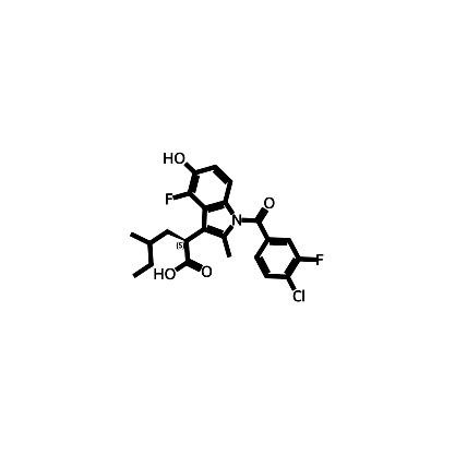 CCC(C)C[C@H](C(=O)O)c1c(C)n(C(=O)c2ccc(Cl)c(F)c2)c2ccc(O)c(F)c12